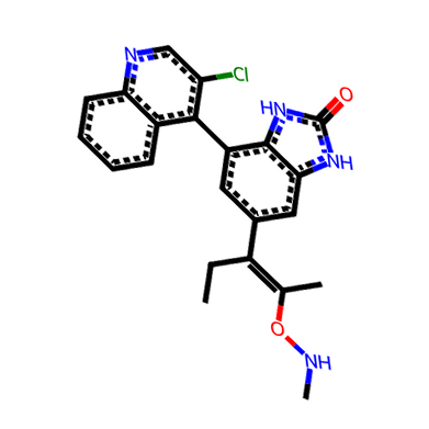 CC/C(=C(/C)ONC)c1cc(-c2c(Cl)cnc3ccccc23)c2[nH]c(=O)[nH]c2c1